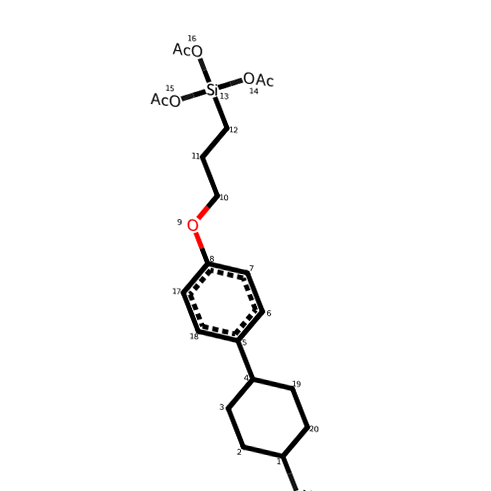 CCCCCCCCCC1CCC(c2ccc(OCCC[Si](OC(C)=O)(OC(C)=O)OC(C)=O)cc2)CC1